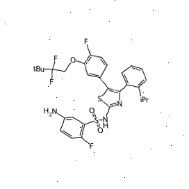 CC(C)c1ccccc1-c1nc(NS(=O)(=O)c2cc(N)ccc2F)sc1-c1ccc(F)c(OCC(F)(F)C(C)(C)C)c1